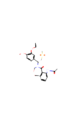 CCOc1cc([C@@H](CS(C)(=O)=O)N2COCc3cccc(NC(C)=O)c3C2=O)ccc1OC